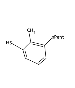 CCCCCc1cccc(S)c1C